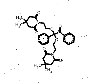 CC1(C)CC(=O)N(CCOC(OCCN2C(=O)CC(C)(C)CC2=O)(C(=O)c2ccccc2)c2ccccc2)C(=O)C1